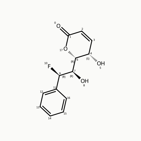 O=C1C=C[C@H](O)[C@H]([C@@H](O)[C@H](F)c2ccccc2)O1